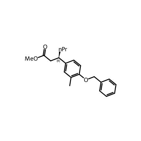 CCC[C@H](CC(=O)OC)c1ccc(OCc2ccccc2)c(C)c1